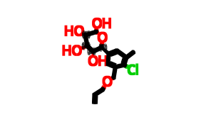 C=CCOCc1cc([C@@H]2OC(O)[C@@H](O)[C@H](O)[C@H]2O)cc(C)c1Cl